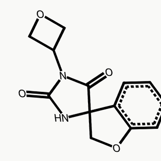 O=C1NC2(COc3ccccc32)C(=O)N1C1COC1